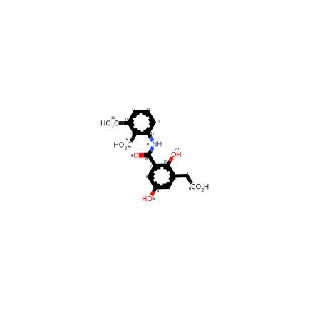 O=C(O)Cc1cc(O)cc(C(=O)Nc2cccc(C(=O)O)c2C(=O)O)c1O